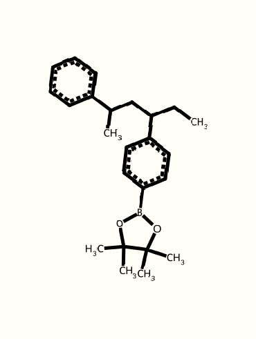 CCC(CC(C)c1ccccc1)c1ccc(B2OC(C)(C)C(C)(C)O2)cc1